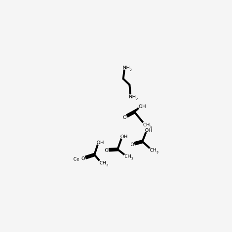 CC(=O)O.CC(=O)O.CC(=O)O.CC(=O)O.NCCN.[Ce]